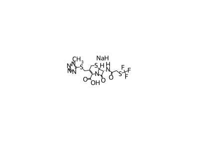 Cn1nnnc1SCC1=C(C(=O)O)N2C(=O)[C@@H](NC(=O)CSC(F)(F)F)[C@H]2SC1.[NaH]